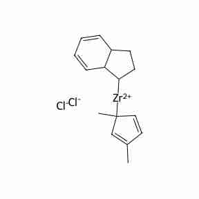 CC1=C[C](C)([Zr+2][CH]2CCC3C=CC=CC32)C=C1.[Cl-].[Cl-]